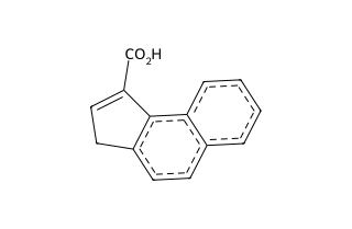 O=C(O)C1=CCc2ccc3ccccc3c21